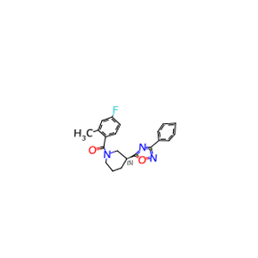 Cc1cc(F)ccc1C(=O)N1CCC[C@H](c2nc(-c3ccccc3)no2)C1